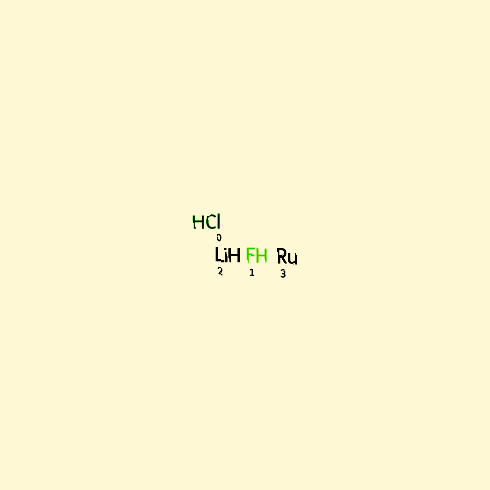 Cl.F.[LiH].[Ru]